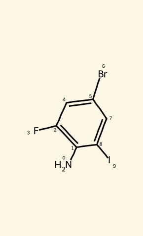 Nc1c(F)cc(Br)cc1I